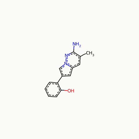 Cc1cc2cc(-c3ccccc3O)cn2nc1N